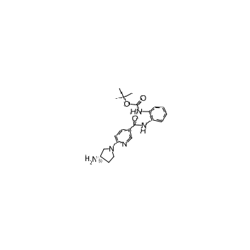 CC(C)(C)OC(=O)Nc1ccccc1NC(=O)c1ccc(N2CC[C@H](N)C2)nc1